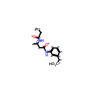 CC(C)CC(=O)NC(C)CC(=O)Nc1cccc(CC(=O)O)c1